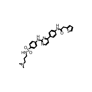 CN(C)CCCNS(=O)(=O)c1ccc(Nc2nccc(-c3ccc(NC(=O)Cc4cccs4)cc3)n2)cc1